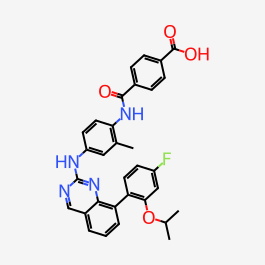 Cc1cc(Nc2ncc3cccc(-c4ccc(F)cc4OC(C)C)c3n2)ccc1NC(=O)c1ccc(C(=O)O)cc1